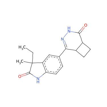 CCC1(C)C(=O)Nc2ccc(C3=NNC(=O)C4CCC34)cc21